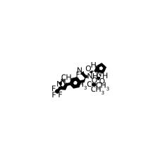 Cn1nc(C(F)(F)F)cc1-c1ccc(C[C@@H](C#N)NC(=O)[C@@H]2[C@H]3CC[C@H](C3)N2C(=O)OC(C)(C)C)c(F)c1